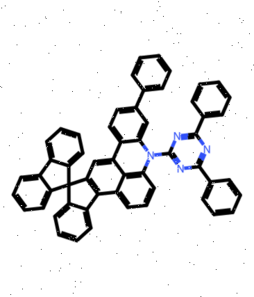 c1ccc(-c2ccc3c(c2)N(c2nc(-c4ccccc4)nc(-c4ccccc4)n2)c2cccc4c5c(cc-3c24)C2(c3ccccc3-c3ccccc32)c2ccccc2-5)cc1